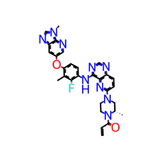 C=CC(=O)N1CCN(c2ccc3ncnc(Nc4ccc(Oc5cnc6c(c5)ncn6C)c(C)c4F)c3n2)C[C@@H]1C